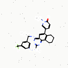 Cc1nc(N[C@H](C)c2cc(N)cc(C(F)(F)F)c2)c2cc(-c3ccc(=O)n(C)c3)c3c(c2n1)CCCC3